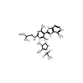 CO[C@H](C)CNc1nc(C)c(-c2nc3c(C)nccc3s2)c(N[C@@H]2C[C@H](C(C)(F)F)[C@@H](O)[C@H]2O)n1